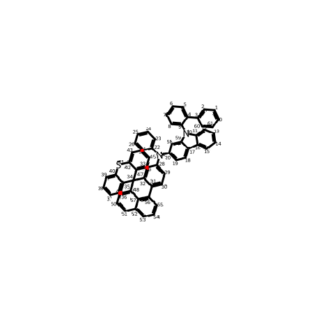 c1ccc(-c2ccccc2-n2c3ccccc3c3ccc(N(c4ccccc4)c4ccc5c(c4)C4(c6ccccc6Sc6ccccc64)c4cccc6cccc-5c46)cc32)cc1